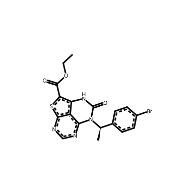 CCOC(=O)c1sc2ncnc3c2c1NC(=O)N3[C@H](C)c1ccc(Br)cc1